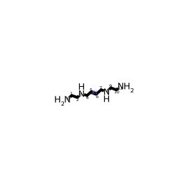 NCCNC/C=C/CNCCN